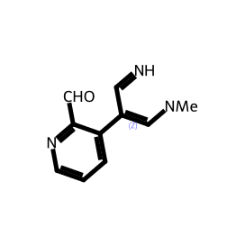 CN/C=C(\C=N)c1cccnc1C=O